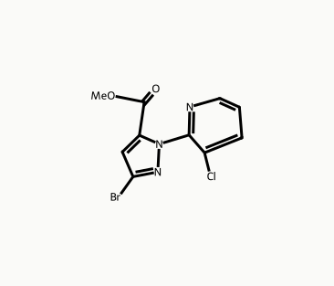 COC(=O)c1cc(Br)nn1-c1ncccc1Cl